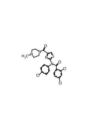 CN1CCN(C(=O)c2csc(N(C(=O)c3ccc(Cl)cc3Cl)c3ccc(Cl)cc3)n2)CC1